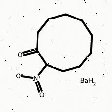 O=C1CCCCCCCCC1[N+](=O)[O-].[BaH2]